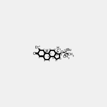 CCC1C[C@H]2C(=CC1=O)CCC1C2CC[C@]2(C)C(O[Si](C)(C)C(C)(C)C)CCC12